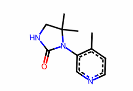 Cc1ccncc1N1C(=O)NCC1(C)C